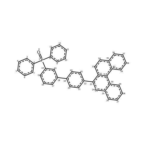 O=P(c1ccccc1)(c1ccccc1)c1cccc(-c2ccc(-c3nc4ccccc4c4c3ccc3ccccc34)cc2)c1